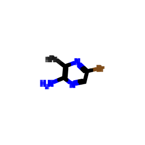 [CH2]CCc1nc(Br)cnc1N